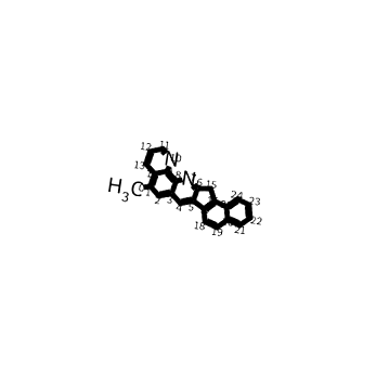 Cc1cc2cc3c(nc2c2ncccc12)Cc1c-3ccc2ccccc12